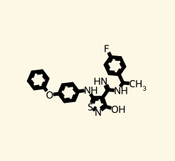 CC(NC(=N)c1c(O)nsc1Nc1ccc(Oc2ccccc2)cc1)c1ccc(F)cc1